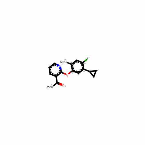 COC(=O)c1cccnc1Oc1cc(C2CC2)c(F)cc1OC